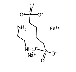 NCCN.O=P([O-])([O-])CCCCP(=O)([O-])[O-].[Fe+3].[Na+]